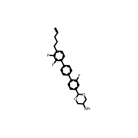 C=CCCCc1ccc(-c2ccc(-c3ccc(C4OCC(CCC)CO4)cc3F)cc2)c(F)c1F